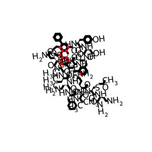 CC(=O)CSC[C@H](NC(=O)[C@H](CCC(N)=O)NC(=O)[C@@H](NC(=O)[C@H](CC1CCCCC1)NC(=O)[C@H](CCN)NC(=O)[C@@H](CC(C)C)NC(=O)[C@H](C)N(C)C(=O)[C@H](CCC(N)=O)NC(=O)[C@H](Cc1ccc(-c2ccccc2)cc1)NC(=O)[C@H](CCc1ccccc1)NC(=O)[C@H](Cc1cccc(C(F)(F)F)c1)NC(=O)[C@H](CC(=O)O)NC(=O)[C@H](Cc1ccc(O)cc1)NC(=O)CCC1CCCOCC1)C(C)C)C(=O)N[C@@H](CCN)C(N)=O